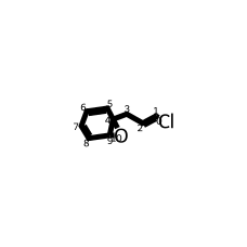 ClC=CCC12C=CC=CC1O2